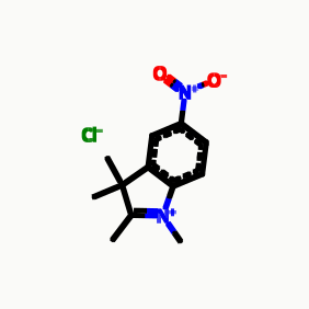 CC1=[N+](C)c2ccc([N+](=O)[O-])cc2C1(C)C.[Cl-]